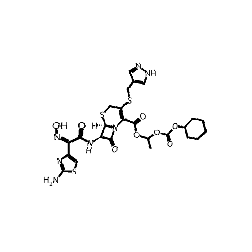 CC(OC(=O)OC1CCCCC1)OC(=O)C1=C(SCc2cn[nH]c2)CS[C@@H]2[C@H](NC(=O)/C(=N\O)c3csc(N)n3)C(=O)N12